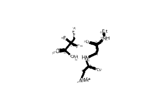 CCNC(=O)CNC(=O)CNC.O=C(O)C(F)(F)F